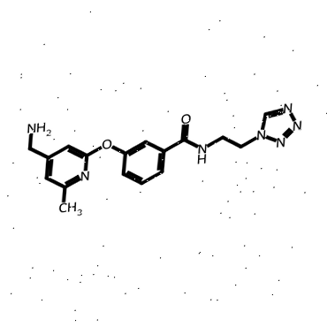 Cc1cc(CN)cc(Oc2cccc(C(=O)NCCn3cnnn3)c2)n1